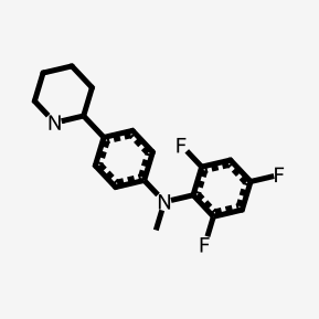 CN(c1ccc(C2CCCC[N]2)cc1)c1c(F)cc(F)cc1F